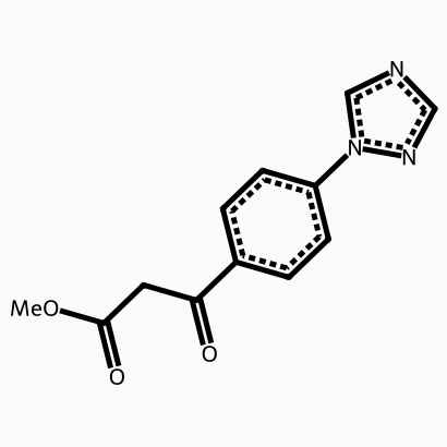 COC(=O)CC(=O)c1ccc(-n2cncn2)cc1